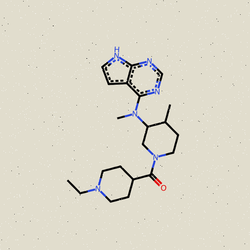 C[CH]N1CCC(C(=O)N2CCC(C)C(N(C)c3ncnc4[nH]ccc34)C2)CC1